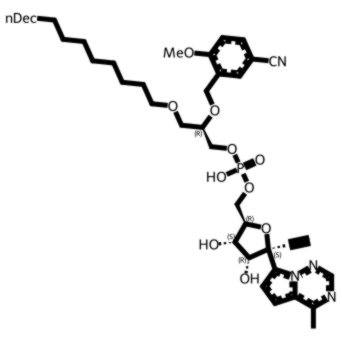 C#C[C@@]1(c2ccc3c(C)ncnn23)O[C@H](COP(=O)(O)OC[C@@H](COCCCCCCCCCCCCCCCCCC)OCc2cc(C#N)ccc2OC)[C@@H](O)[C@H]1O